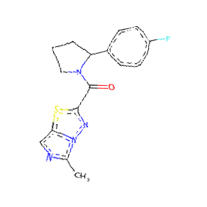 Cc1ncc2sc(C(=O)N3CCCC3c3ccc(F)cc3)nn12